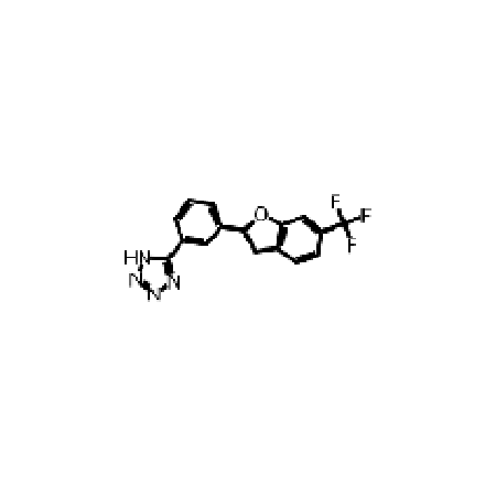 FC(F)(F)c1ccc2c(c1)OC(c1cccc(-c3nnn[nH]3)c1)C2